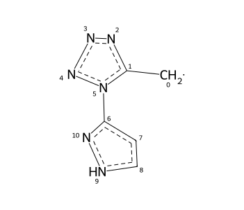 [CH2]c1nnnn1-c1cc[nH]n1